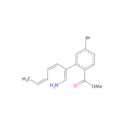 C\C=C/C=C\C(=C/N)c1cc(C(C)C)ccc1C(=O)OC